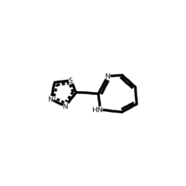 C1=CN=C(c2nncs2)NC=C1